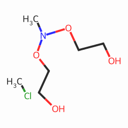 CCl.CN(OCCO)OCCO